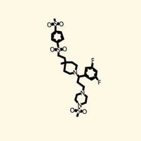 CC1(CCS(=O)(=O)c2ccc(S(C)(=O)=O)cc2)CCN(C(CCN2CCN(S(C)(=O)=O)CC2)c2cc(F)cc(F)c2)CC1